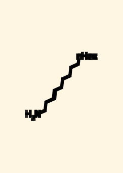 CCCCCCCCCCCC=CCCN